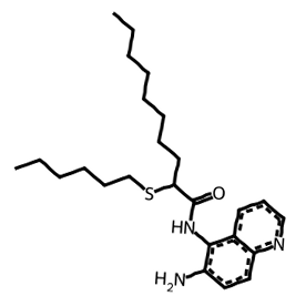 CCCCCCCCC(SCCCCCC)C(=O)Nc1c(N)ccc2ncccc12